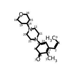 C/C=C\C1=C(C)C(=O)CC(N2CCN(C3CCOCC3)CC2)=C1